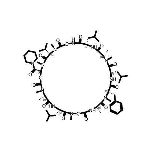 CC(C)C[C@@H]1NC(=O)[C@H](C)N(C)C(=O)[C@H](CC(C)C)NC(=O)[C@H](Cc2ccccc2)N(C)C(=O)[C@H](C)NC(=O)CN(C)C(=O)[C@H](CC(C)C)NC(=O)[C@H](C)N(C)C(=O)C[C@@H](C(=O)N2CCCCC2)N(C)C(=O)[C@H](C(C)C)N(C)C(=O)CNC1=O